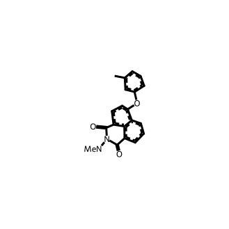 CNN1C(=O)c2cccc3c(Oc4cccc(C)c4)ccc(c23)C1=O